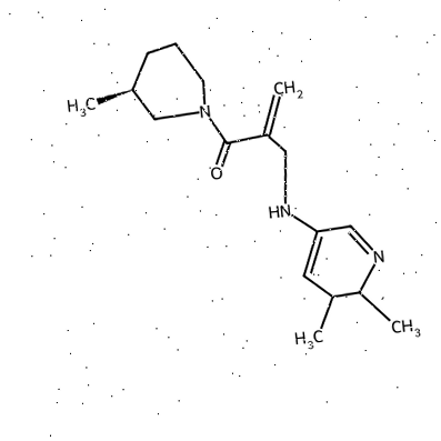 C=C(CNC1=CC(C)C(C)N=C1)C(=O)N1CCC[C@H](C)C1